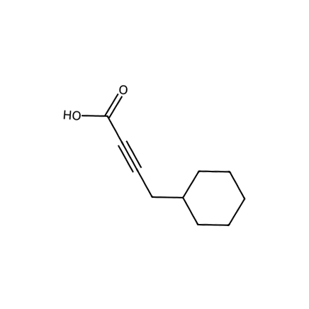 O=C(O)C#CCC1CCCCC1